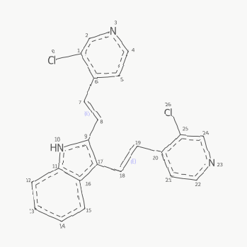 Clc1cnccc1/C=C/c1[nH]c2ccccc2c1/C=C/c1ccncc1Cl